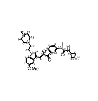 COc1ccc2c(c1)c(/C=C1\Oc3ccc(NC(=O)NC4CNC4)cc3C1=O)cn2CCN1CCN(C)CC1